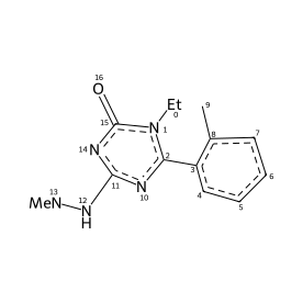 CCn1c(-c2ccccc2C)nc(NNC)nc1=O